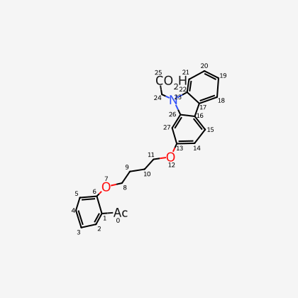 CC(=O)c1ccccc1OCCCCOc1ccc2c3ccccc3n(CC(=O)O)c2c1